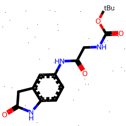 CC(C)(C)OC(=O)NCC(=O)Nc1ccc2c(c1)CC(=O)N2